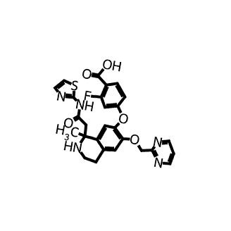 CC1(CC(=O)Nc2nccs2)NCCc2cc(OCc3ncccn3)c(Oc3ccc(C(=O)O)c(F)c3)cc21